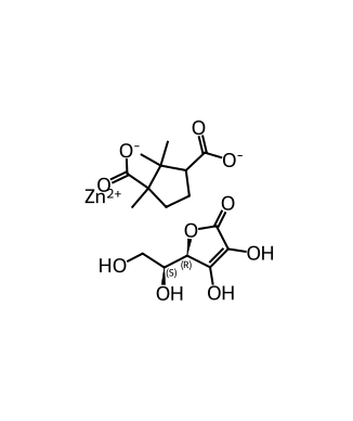 CC1(C(=O)[O-])CCC(C(=O)[O-])C1(C)C.O=C1O[C@H]([C@@H](O)CO)C(O)=C1O.[Zn+2]